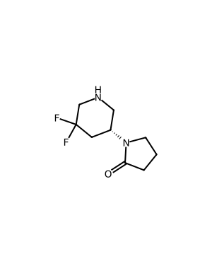 O=C1CCCN1[C@H]1CNCC(F)(F)C1